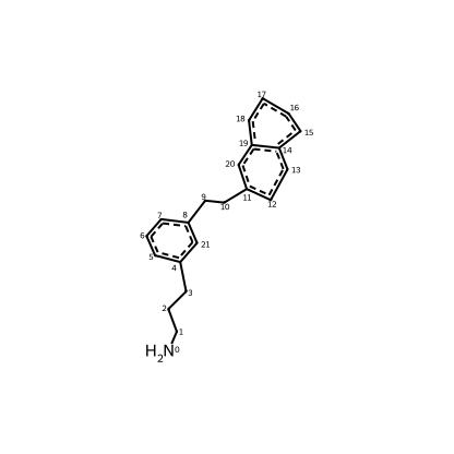 NCCCc1cccc(CCc2ccc3ccccc3c2)c1